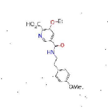 CCOc1cc(C(=O)NCCc2ccc(OC)cc2)cnc1C(=O)O